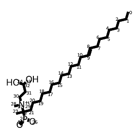 CCCCCCCCC=CCCCCCCCCCCCCC(C)(P(=O)=O)[N+](C)(C)CCC(O)O